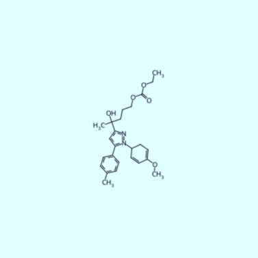 CCOC(=O)OCCCC(C)(O)c1cc(-c2ccc(C)cc2)n(C2C=CC(OC)=CC2)n1